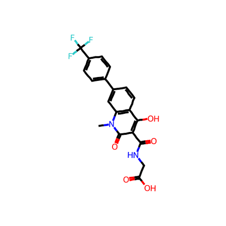 Cn1c(=O)c(C(=O)NCC(=O)O)c(O)c2ccc(-c3ccc(C(F)(F)F)cc3)cc21